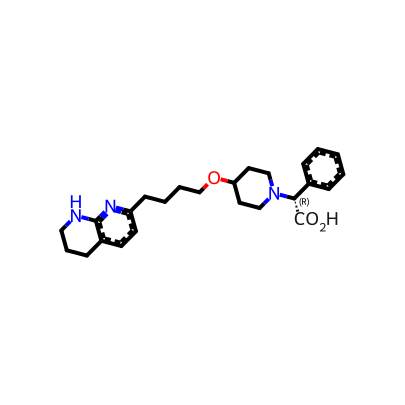 O=C(O)[C@@H](c1ccccc1)N1CCC(OCCCCc2ccc3c(n2)NCCC3)CC1